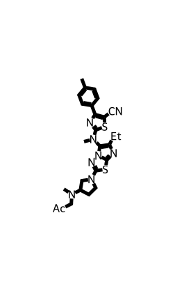 CCc1nc2sc(N3CCC(N(C)CC(C)=O)C3)nn2c1N(C)c1nc(-c2ccc(C)cc2)c(C#N)s1